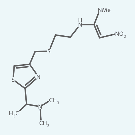 CNC(=C[N+](=O)[O-])NCCSCc1csc(C(C)N(C)C)n1